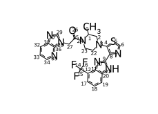 CC1CN(c2scnc2-c2nc3c(C(F)(F)F)cccc3[nH]2)CCN1C(=O)Cn1cnc2cccnc21